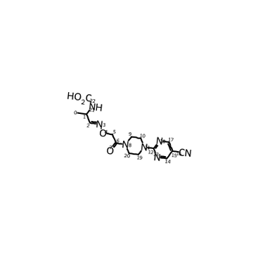 CC(C=NOCC(=O)N1CCN(c2ncc(C#N)cn2)CC1)NC(=O)O